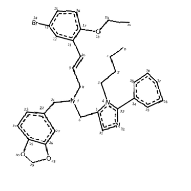 CCCCn1c(CN(CC=Cc2cc(Br)ccc2OCC)Cc2ccc3c(c2)OCO3)cnc1-c1ccccc1